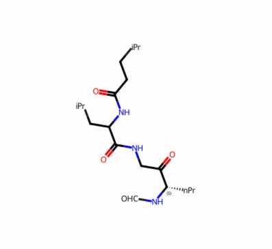 CCC[C@H](NC=O)C(=O)CNC(=O)C(CC(C)C)NC(=O)CCC(C)C